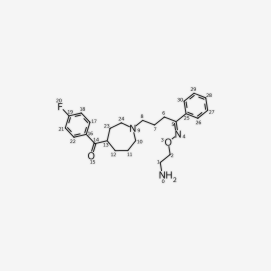 NCCON=C(CCCN1CCCC(C(=O)c2ccc(F)cc2)CC1)c1ccccc1